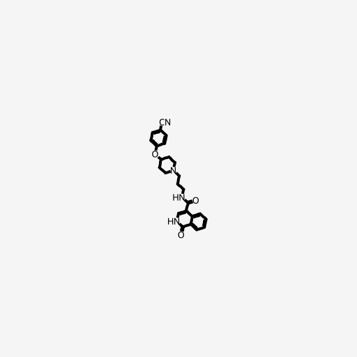 N#Cc1ccc(OC2CCN(CCCNC(=O)c3c[nH]c(=O)c4ccccc34)CC2)cc1